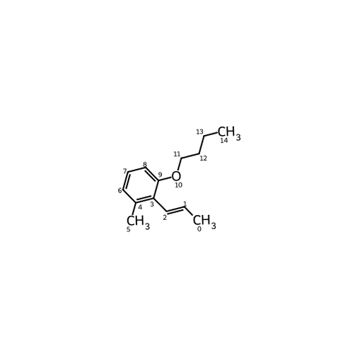 C/C=C/c1c(C)cccc1OCCCC